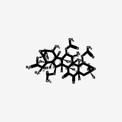 C=C1O[C@]23O[C@H]2[C@@H](C)[C@H]2[C@@H]([C@H](OC(C)=O)[C@H]4[C@@H]5C(=O)C(=O)[C@H]6C[C@@H]7O[C@@H]7[C@H](OC(C)=O)[C@]6(C)[C@H]5[C@H](C)[C@H](OC(C)=O)[C@@]42C)[C@@]3(C)[C@]1(C)O